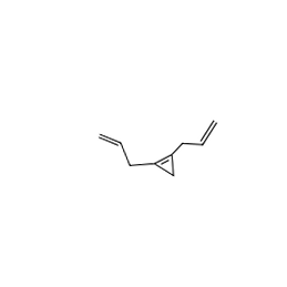 C=CCC1=C(CC=C)C1